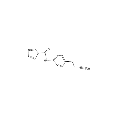 C#CCOc1ccc(NC(=O)n2ccnc2)cc1